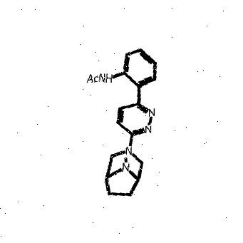 CC(=O)Nc1ccccc1-c1ccc(N2CC3CCC(C2)N3C)nn1